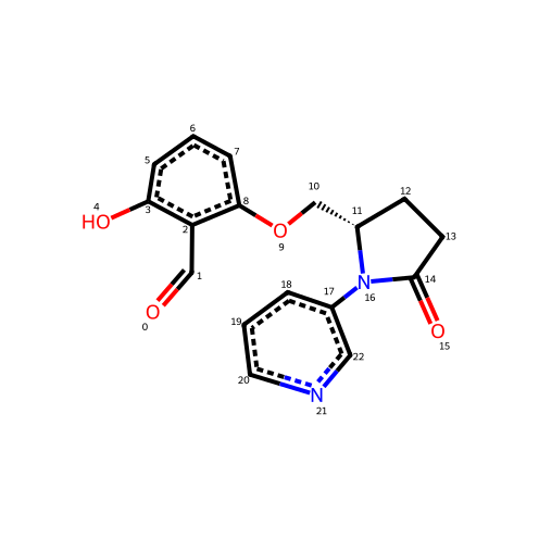 O=Cc1c(O)cccc1OC[C@@H]1CCC(=O)N1c1cccnc1